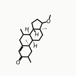 COC1CC[C@H]2[C@@H]3C(C)CC4=CC(=O)C(C)C[C@]4(C)[C@@H]3CC[C@]12C